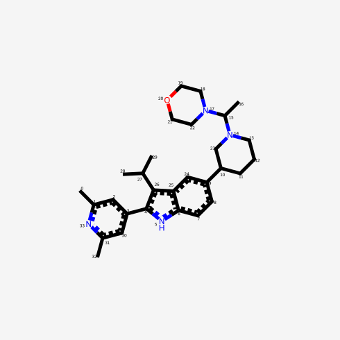 Cc1cc(-c2[nH]c3ccc(C4CCCN(C(C)N5CCOCC5)C4)cc3c2C(C)C)cc(C)n1